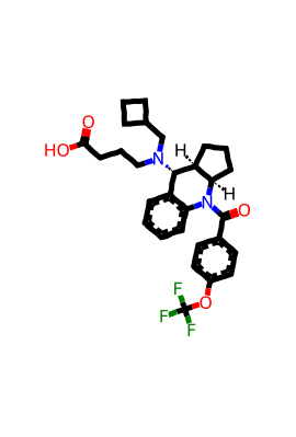 O=C(O)CCCN(CC1CCC1)[C@H]1c2ccccc2N(C(=O)c2ccc(OC(F)(F)F)cc2)[C@@H]2CCC[C@@H]21